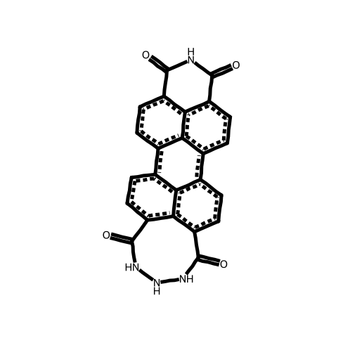 O=C1NNNC(=O)c2ccc3c4ccc5c6c(ccc(c7ccc1c2c73)c64)C(=O)NC5=O